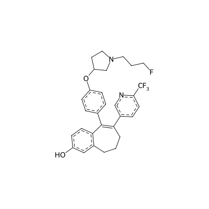 Oc1ccc2c(c1)CCCC(c1ccc(C(F)(F)F)nc1)=C2c1ccc(OC2CCN(CCCF)C2)cc1